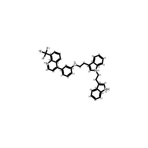 FC(F)(F)c1cccc2c(-c3cccc(OCCc4cn(CCc5c[nH]c6ccccc56)c5ccccc45)c3)ccnc12